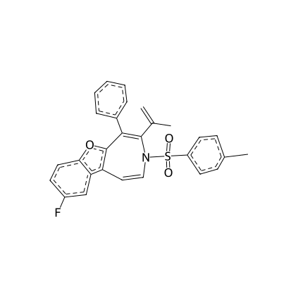 C=C(C)C1=C(c2ccccc2)c2oc3ccc(F)cc3c2C=CN1S(=O)(=O)c1ccc(C)cc1